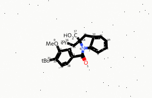 COc1cc(C(=O)N2c3ccccc3CC2(CC(C)C)C(=O)O)ccc1C(C)(C)C